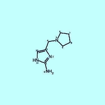 Nc1nc(CN2CCCC2)c[nH]1